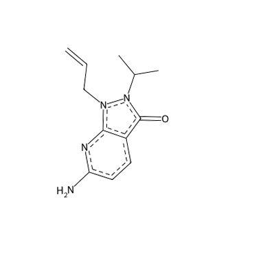 C=CCn1c2nc(N)ccc2c(=O)n1C(C)C